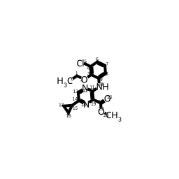 CCOc1c(Cl)cccc1Nc1ncc(C2CC2)nc1C(=O)OC